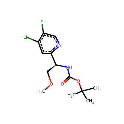 COC[C@H](NC(=O)OC(C)(C)C)c1cc(Cl)c(F)cn1